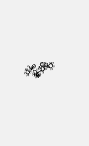 CN(C(=O)CCc1c(-c2ccc(OC3CCCCC3)c(C(F)(F)F)n2)nnn1C)C1CCCC1